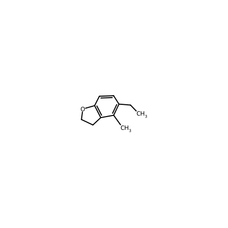 CCc1ccc2c(c1C)CCO2